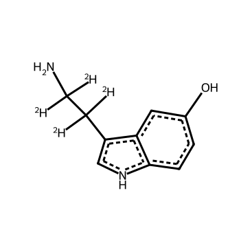 [2H]C([2H])(N)C([2H])([2H])c1c[nH]c2ccc(O)cc12